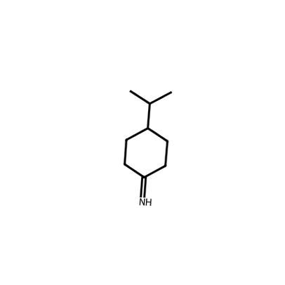 CC(C)C1CCC(=N)CC1